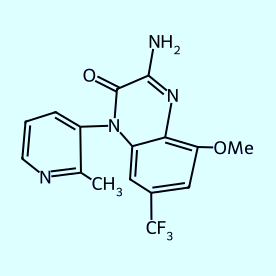 COc1cc(C(F)(F)F)cc2c1nc(N)c(=O)n2-c1cccnc1C